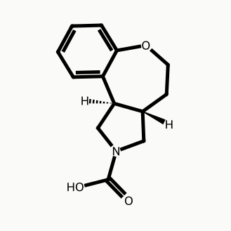 O=C(O)N1C[C@H]2CCOc3ccccc3[C@@H]2C1